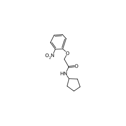 O=C(COc1ccccc1[N+](=O)[O-])NC1CCCC1